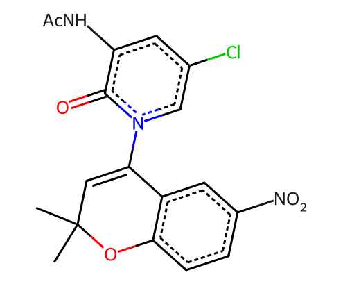 CC(=O)Nc1cc(Cl)cn(C2=CC(C)(C)Oc3ccc([N+](=O)[O-])cc32)c1=O